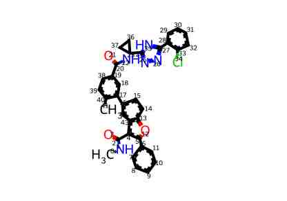 CNC(=O)c1c(-c2ccccc2)oc2ccc(-c3cc(C(=O)NC4(c5nnc(-c6ccccc6Cl)[nH]5)CC4)ccc3C)cc12